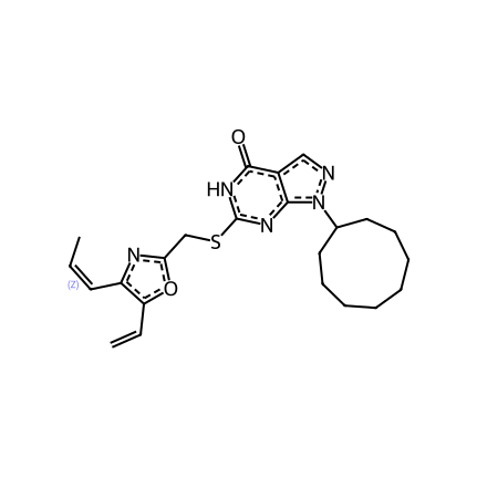 C=Cc1oc(CSc2nc3c(cnn3C3CCCCCCCC3)c(=O)[nH]2)nc1/C=C\C